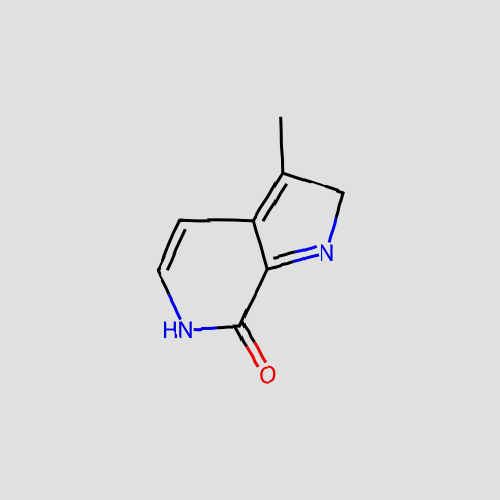 CC1=c2cc[nH]c(=O)c2=NC1